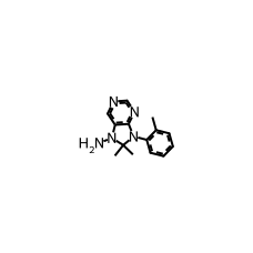 Cc1ccccc1N1c2ncncc2N(N)C1(C)C